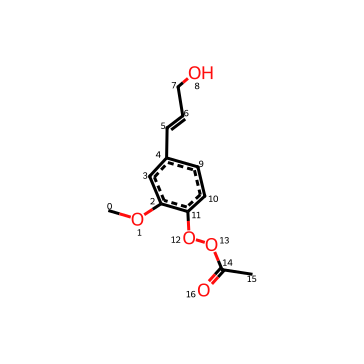 COc1cc(C=CCO)ccc1OOC(C)=O